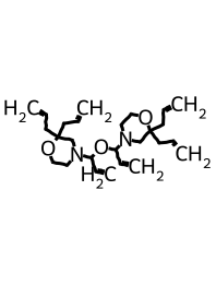 C=CCC1(CC=C)CN(C(C=C)OC(C=C)N2CCOC(CC=C)(CC=C)C2)CCO1